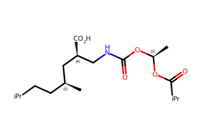 CC(C)CC[C@H](C)C[C@H](CNC(=O)O[C@@H](C)OC(=O)C(C)C)C(=O)O